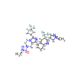 CNC(=O)N1CCn2c(C3CCC(F)(F)C3)nc(-c3cccc4nc(-c5cnn(C)c5)c(C(F)F)cc34)c2C1